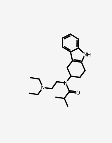 CCN(CC)CCN(C(=O)C(C)C)C1CCc2[nH]c3ccccc3c2C1